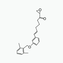 Cc1cccc(C)c1COc1cccc(/C=C/CCCC(=O)C2CO2)c1